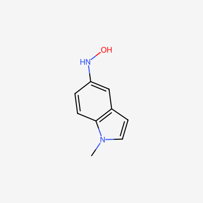 Cn1ccc2cc(NO)ccc21